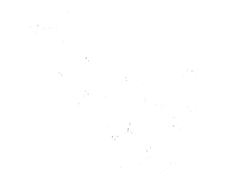 Cc1cccc(C)c1-n1nc2c(c1-c1c(F)cc(C)c3[nH]ccc13)CN(c1ncc(C(C)C)cn1)CC2